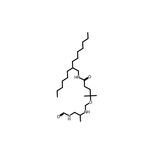 CCCCCCCC(CCCCCC)CNC(=O)CCC(C)(C)OCNC(C)CNC=O